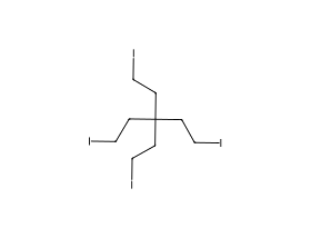 ICCC(CCI)(CCI)CCI